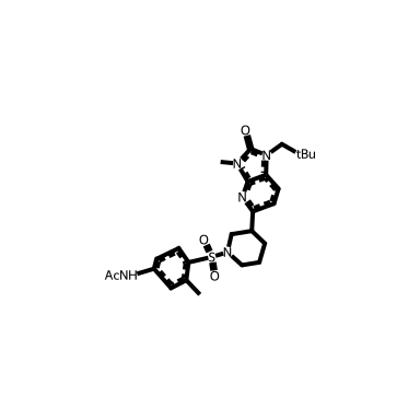 CC(=O)Nc1ccc(S(=O)(=O)N2CCCC(c3ccc4c(n3)n(C)c(=O)n4CC(C)(C)C)C2)c(C)c1